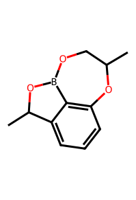 CC1COB2OC(C)c3cccc(c32)O1